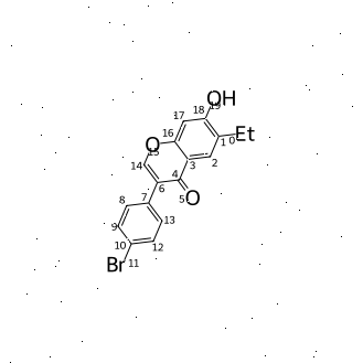 CCc1cc2c(=O)c(-c3ccc(Br)cc3)coc2cc1O